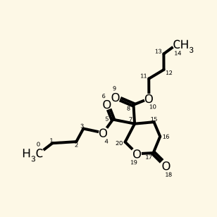 CCCCOC(=O)C1(C(=O)OCCCC)CCC(=O)OC1